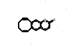 O=c1ccc2cc3c(cc2o1)C#CCC/C=C\3